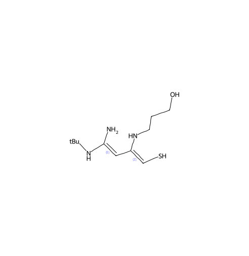 CC(C)(C)N/C(N)=C/C(=C/S)NCCCO